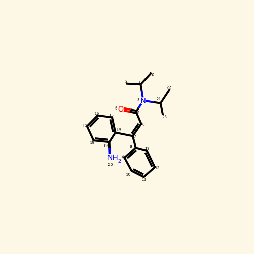 CC(C)N(C(=O)C=C(c1ccccc1)c1ccccc1N)C(C)C